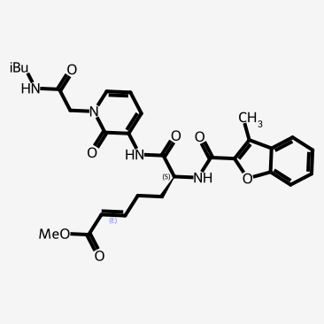 CCC(C)NC(=O)Cn1cccc(NC(=O)[C@H](CC/C=C/C(=O)OC)NC(=O)c2oc3ccccc3c2C)c1=O